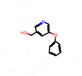 OCc1cncc(Oc2ccccc2)c1